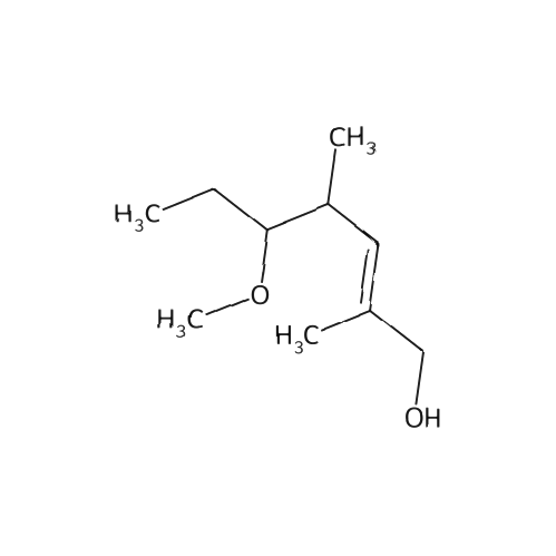 CCC(OC)C(C)/C=C(\C)CO